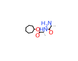 C[C@@H](N)C(=O)N[C@H](C)C(=O)OC1CCCCCC1